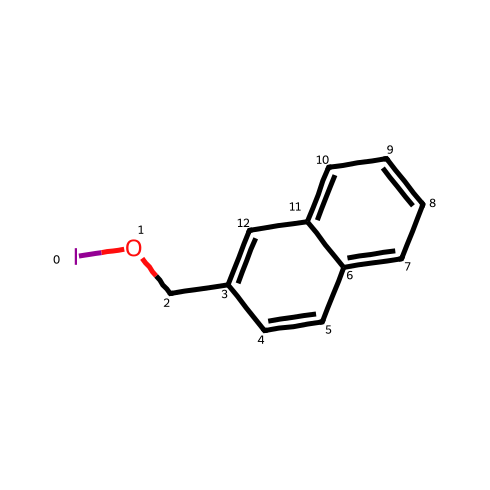 IOCc1ccc2ccccc2c1